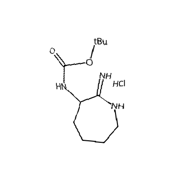 CC(C)(C)OC(=O)NC1CCCCNC1=N.Cl